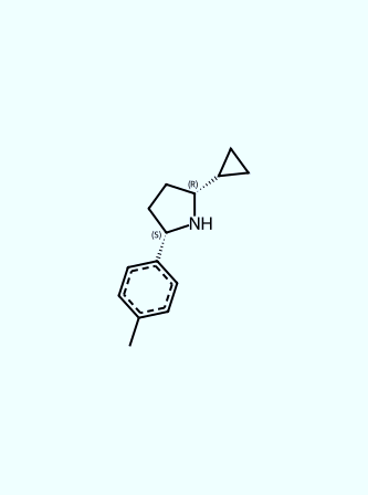 Cc1ccc([C@@H]2CC[C@H](C3CC3)N2)cc1